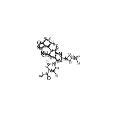 C=CC(=O)N1C[C@H](C)N(c2nc(N3CC(N(C)C)C3)nc3c(F)c(-c4c(C)ccc5onc(N)c45)c(Cl)cc23)C[C@H]1C